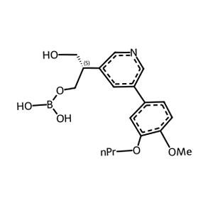 CCCOc1cc(-c2cncc([C@@H](CO)COB(O)O)c2)ccc1OC